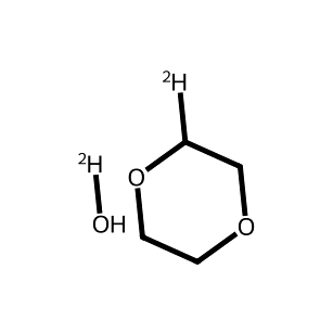 [2H]C1COCCO1.[2H]O